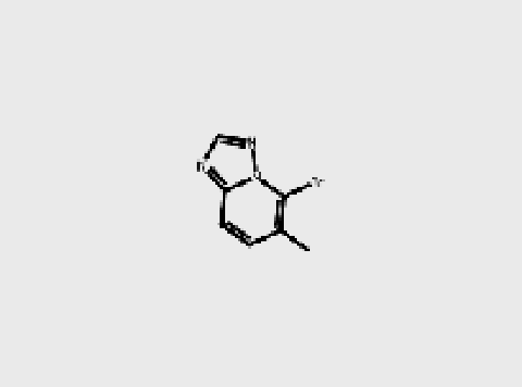 Cc1ccc2ncnn2c1Br